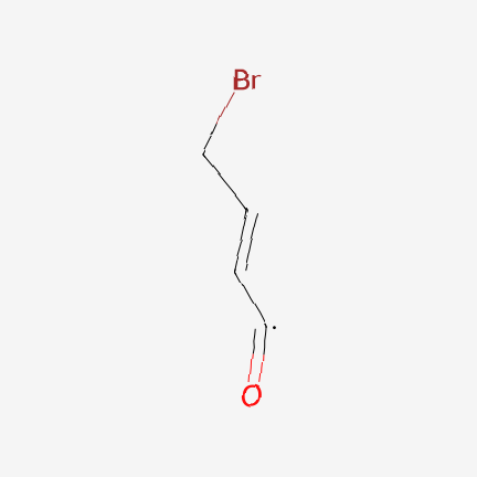 O=[C]/C=C/CBr